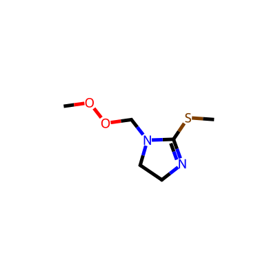 COOCN1CCN=C1SC